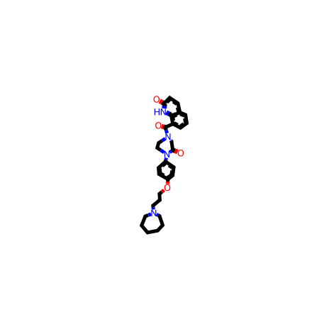 O=C(c1cccc2ccc(=O)[nH]c12)N1CCN(c2ccc(OCCCN3CCCCCC3)cc2)C(=O)C1